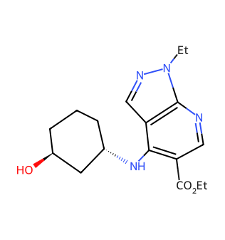 CCOC(=O)c1cnc2c(cnn2CC)c1N[C@H]1CCC[C@H](O)C1